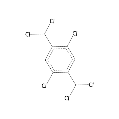 Clc1cc(C(Cl)Cl)c(Cl)cc1C(Cl)Cl